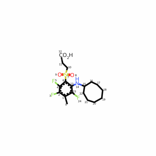 Cc1c(F)c(F)c(S(=O)(=O)CCC(=O)O)c(NC2CCCCCCC2)c1F